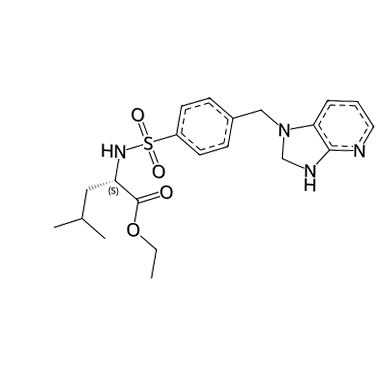 CCOC(=O)[C@H](CC(C)C)NS(=O)(=O)c1ccc(CN2CNc3ncccc32)cc1